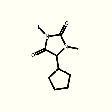 O=C1C(C2CCCC2)N(I)C(=O)N1I